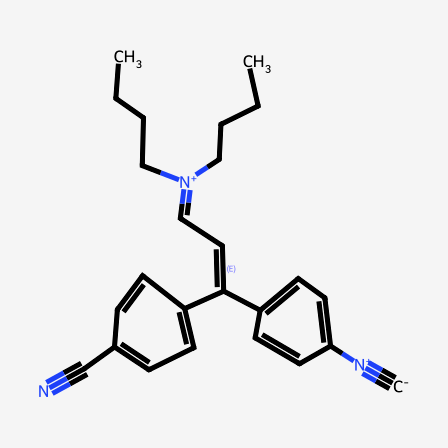 [C-]#[N+]c1ccc(/C(=C/C=[N+](CCCC)CCCC)c2ccc(C#N)cc2)cc1